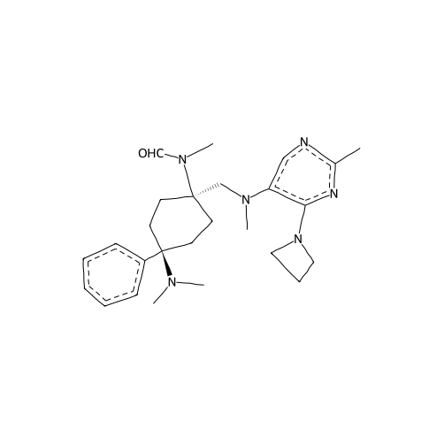 Cc1ncc(N(C)C[C@]2(N(C)C=O)CC[C@@](c3ccccc3)(N(C)C)CC2)c(N2CCC2)n1